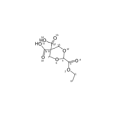 CCOC(=O)C1OCC(C(=O)O)(C(=O)O)CO1